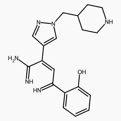 N=C(N)/C(=C\C(=N)c1ccccc1O)c1cnn(CC2CCNCC2)c1